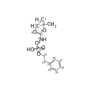 CC(C)(C)OC(=O)NOP(=O)(O)OCCc1ccccc1